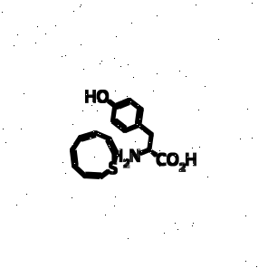 N[C@@H](Cc1ccc(O)cc1)C(=O)O.c1ccccsccc1